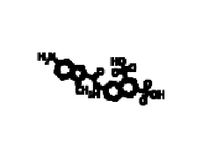 Cn1c(C(=O)Nc2ccc3cc(S(=O)(=O)O)cc(S(=O)(=O)O)c3c2)cc2cc(N)ccc21